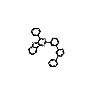 c1ccc(-c2cccc(-c3cccc(-c4nc(-c5ccccc5)c5sc6ccccc6c5n4)c3)c2)cc1